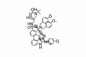 COc1ccc(CN(Cc2ccc(OC)cc2)S(=O)(=O)c2c(S(=O)(=O)NC[C@H](O)CN(C(=O)O)C(C)(C)C)ccc(-c3cccc4[nH]c(N)nc34)c2-c2nnn(Cc3ccc(OC)cc3)n2)cc1